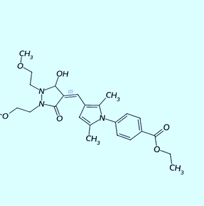 CCOC(=O)c1ccc(-n2c(C)cc(/C=C3\C(=O)N(CCOC)N(CCOC)C3O)c2C)cc1